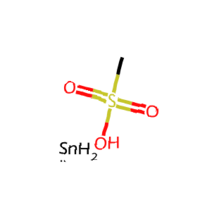 CS(=O)(=O)O.[SnH2]